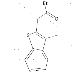 CCC(=O)Cc1sc2ccccc2c1C